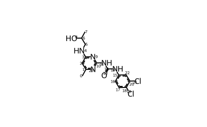 Cc1cc(NCC(C)O)nc(NC(=O)Nc2ccc(Cl)c(Cl)c2)n1